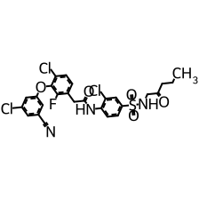 CCCC(=O)CNS(=O)(=O)c1ccc(NC(=O)Cc2ccc(Cl)c(Oc3cc(Cl)cc(C#N)c3)c2F)c(Cl)c1